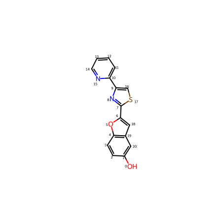 Oc1ccc2oc(-c3nc(-c4ccccn4)cs3)cc2c1